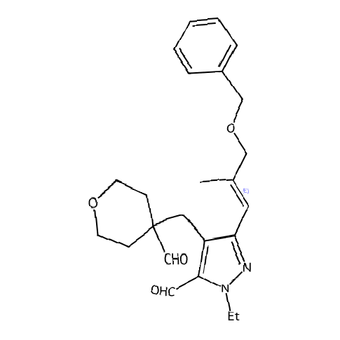 CCn1nc(/C=C(\C)COCc2ccccc2)c(CC2(C=O)CCOCC2)c1C=O